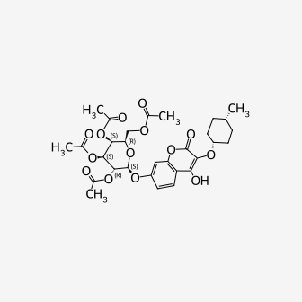 CC(=O)OC[C@H]1O[C@@H](Oc2ccc3c(O)c(O[C@H]4CC[C@@H](C)CC4)c(=O)oc3c2)[C@H](OC(C)=O)[C@@H](OC(C)=O)[C@H]1OC(C)=O